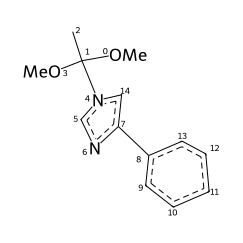 COC(C)(OC)n1cnc(-c2ccccc2)c1